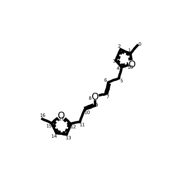 Cc1ccc(CC=COC=CCc2ccc(C)o2)o1